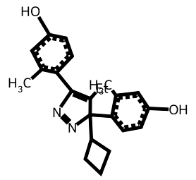 CCC1=C(c2ccc(O)cc2C)N=NC1(c1ccc(O)cc1C)C1CCC1